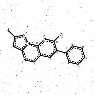 Cc1cc2ncc3cc(-c4ccccc4)c(Cl)nc3n2n1